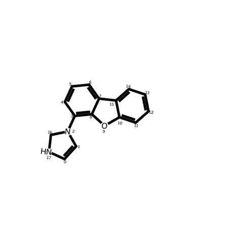 C1=CN(c2cccc3c2oc2ccccc23)CN1